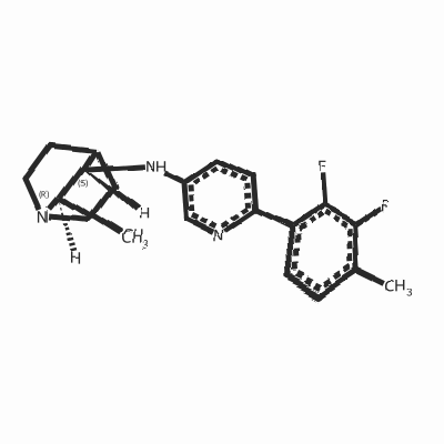 Cc1ccc(-c2ccc(N[C@H]3C4CCN(CC4)[C@@H]3C)cn2)c(F)c1F